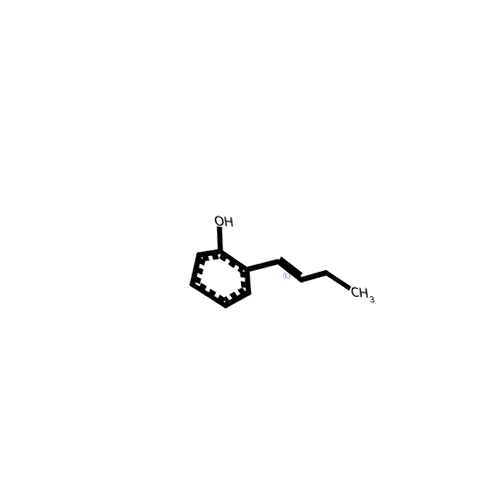 CC/C=C/c1ccccc1O